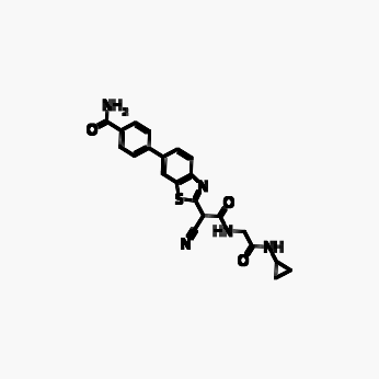 N#CC(C(=O)NCC(=O)NC1CC1)c1nc2ccc(-c3ccc(C(N)=O)cc3)cc2s1